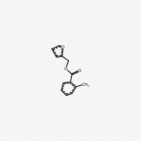 Cc1ccccc1C(=O)OCc1ccco1